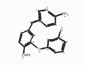 COc1ccc(Cc2ccc(N)nc2)cc1Oc1cccc(Cl)c1